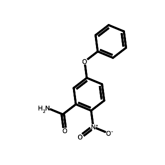 NC(=O)c1cc(Oc2ccccc2)ccc1[N+](=O)[O-]